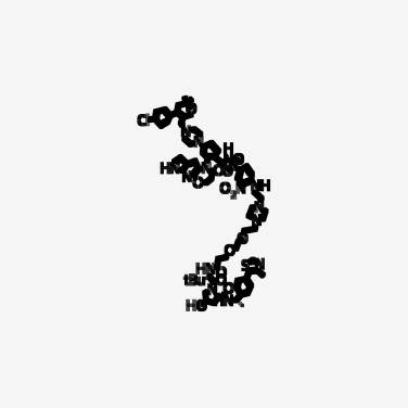 Cc1ncsc1-c1ccc([C@H](C)NC(=O)[C@@H]2C[C@@H](O)CN2C(=O)[C@@H](NC(=O)CCOCCOCCN2CCN(CCNc3ccc(S(=O)(=O)NC(=O)c4ccc(N5CCN(CC6=C(c7ccc(Cl)cc7)CC(C)(C)OC6)CC5)cc4N4CCCOc5nc6[nH]ccc6cc54)cc3[N+](=O)[O-])CC2)C(C)(C)C)cc1